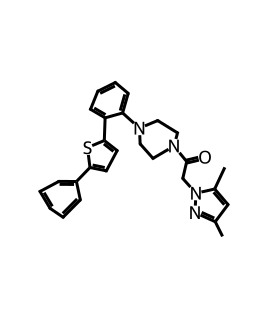 Cc1cc(C)n(CC(=O)N2CCN(c3ccccc3-c3ccc(-c4ccccc4)s3)CC2)n1